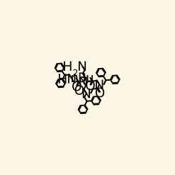 CCCCC(=O)CN(CC(c1ccccc1)c1ccccc1)C(=O)CCN(CC(c1ccccc1)c1ccccc1)C(=O)CN(CCCN)C(=O)CNCC(c1ccccc1)c1ccccc1